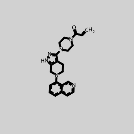 C=CC(=O)N1CCN(c2n[nH]c3c2CCN(c2cccc4ccncc24)C3)CC1